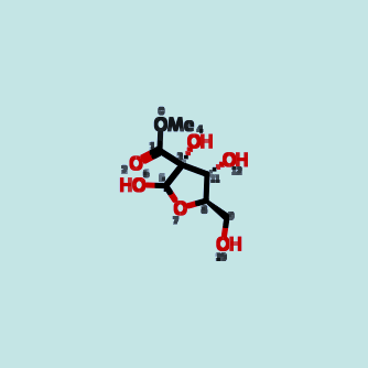 COC(=O)[C@]1(O)[C](O)O[C@H](CO)[C@H]1O